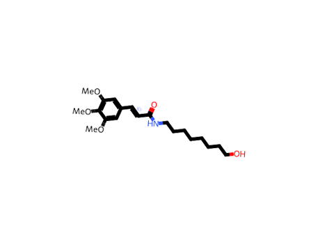 COc1cc(/C=C/C(=O)NCCCCCCCCO)cc(OC)c1OC